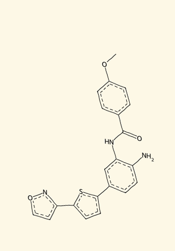 COc1ccc(C(=O)Nc2cc(-c3ccc(-c4ccon4)s3)ccc2N)cc1